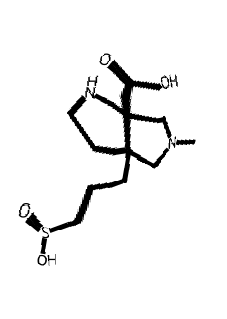 CN1CC2(CCCS(=O)O)CCNC2(C(=O)O)C1